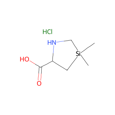 C[Si]1(C)CNC(C(=O)O)C1.Cl